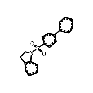 O=S(=O)(c1ccc(-c2ccccc2)cc1)N1CCc2ccccc21